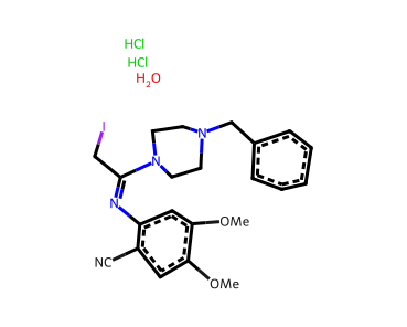 COc1cc(C#N)c(N=C(CI)N2CCN(Cc3ccccc3)CC2)cc1OC.Cl.Cl.O